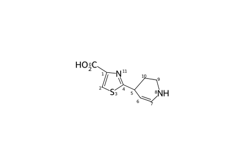 O=C(O)c1csc(C2C=CNCC2)n1